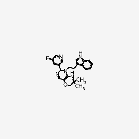 CC1(C)COC2=C(N1)N(CCc1c[nH]c3ccccc13)C(c1cncc(F)c1)N=C2